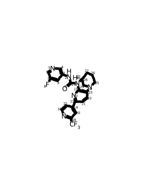 O=C(Nc1cncc(F)c1)N1c2nc(-c3ccnc(C(F)(F)F)c3)ccc2N2CCC[C@H]1C2